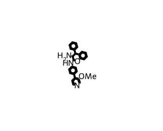 COc1cnccc1-c1ccc(NC(=O)[C@@H](N)C(c2ccccc2)c2ccccc2)cc1